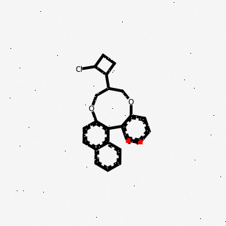 ClC1CCC1C1COc2ccc3ccccc3c2-c2c(ccc3ccccc23)OC1